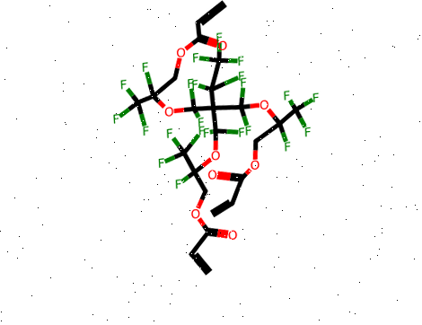 C=CC(=O)OCC(F)(OC(F)(F)C(C(F)(F)OC(F)(COC(=O)C=C)C(F)(F)F)(C(F)(F)OC(F)(COC(=O)C=C)C(F)(F)F)C(F)(F)C(F)(F)F)C(F)(F)F